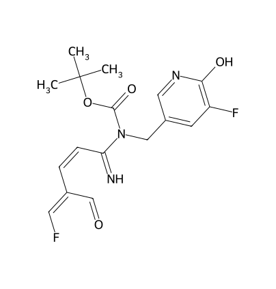 CC(C)(C)OC(=O)N(Cc1cnc(O)c(F)c1)C(=N)/C=C\C(C=O)=C\F